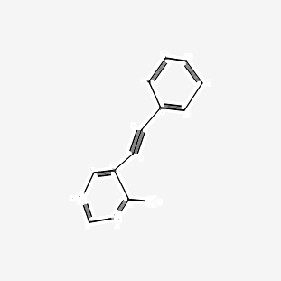 Clc1ncncc1C#Cc1ccccc1